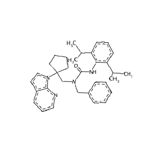 CC(C)c1cccc(C(C)C)c1NC(=O)N(Cc1ccccc1)CC1(n2ccc3cccnc32)CCCC1